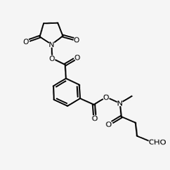 CN(OC(=O)c1cccc(C(=O)ON2C(=O)CCC2=O)c1)C(=O)CCC=O